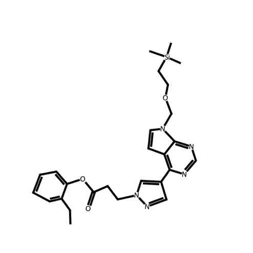 CCc1ccccc1OC(=O)CCn1cc(-c2ncnc3c2ccn3COCC[Si](C)(C)C)cn1